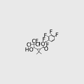 CC1(C)C(C(=O)OC(F)(F)c2ccc(F)c(F)c2F)C1C(O)C(Cl)(Cl)C(F)(F)F